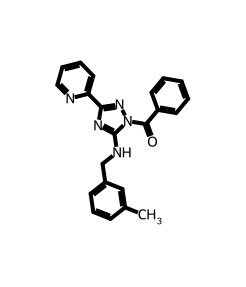 Cc1cccc(CNc2nc(-c3ccccn3)nn2C(=O)c2ccccc2)c1